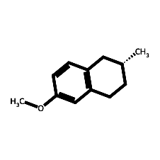 COc1ccc2c(c1)CC[C@@H](C)C2